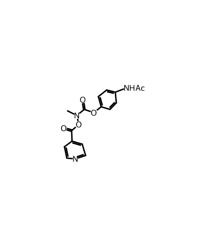 CC(=O)Nc1ccc(OC(=O)N(C)OC(=O)c2ccncc2)cc1